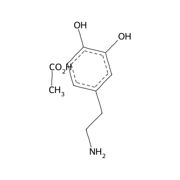 CC(=O)O.NCCc1ccc(O)c(O)c1